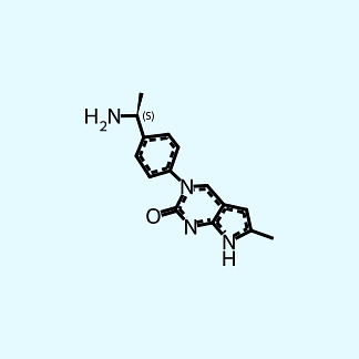 Cc1cc2cn(-c3ccc([C@H](C)N)cc3)c(=O)nc2[nH]1